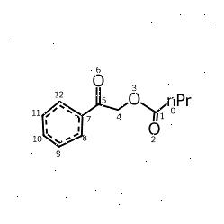 CCCC(=O)OCC(=O)c1ccccc1